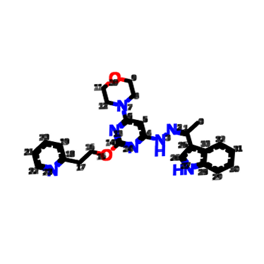 C/C(=N/Nc1cc(N2CCOCC2)nc(OCCc2ccccn2)n1)c1c[nH]c2ccccc12